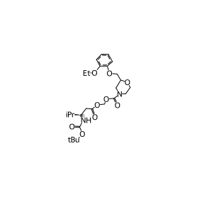 CCOc1ccccc1OCC1CN(C(=O)OCOC(=O)C[C@@H](NC(=O)OC(C)(C)C)C(C)C)CCO1